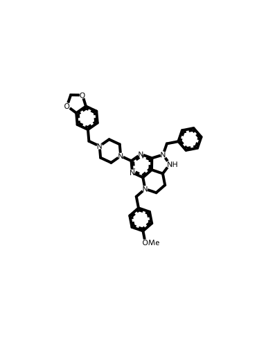 COc1ccc(CN2CCC3NN(Cc4ccccc4)c4nc(N5CCN(Cc6ccc7c(c6)OCO7)CC5)nc2c43)cc1